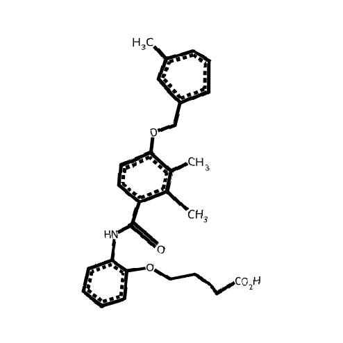 Cc1cccc(COc2ccc(C(=O)Nc3ccccc3OCCCC(=O)O)c(C)c2C)c1